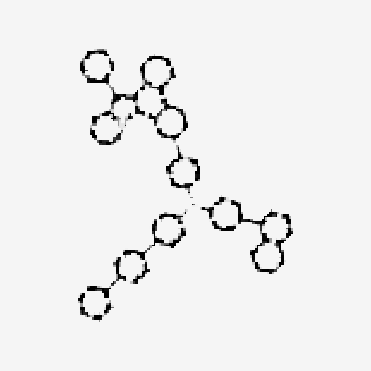 c1ccc(-c2ccc(-c3ccc(N(c4ccc(-c5ccc6c7ccccc7c7c(-c8ccccc8)c8ccccn8c7c6c5)cc4)c4ccc(-c5cccc6ccccc56)cc4)cc3)cc2)cc1